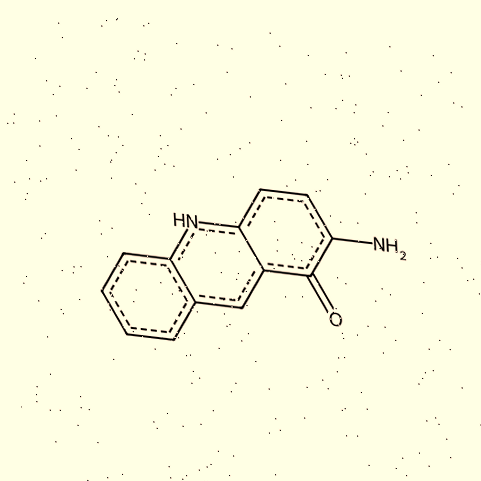 Nc1ccc2[nH]c3ccccc3cc-2c1=O